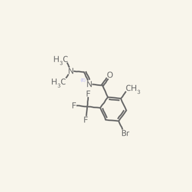 Cc1cc(Br)cc(C(F)(F)F)c1C(=O)/N=C/N(C)C